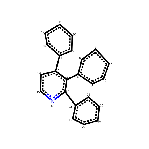 [c]1ccccc1-c1c(-c2ccccc2)ccnc1-c1ccccc1